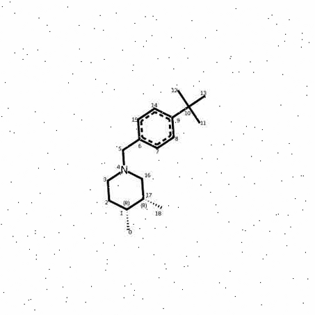 C[C@@H]1CCN(Cc2ccc(C(C)(C)C)cc2)C[C@@H]1C